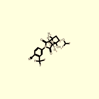 CC12C[C@H](OC(F)F)C(C)(O1)[C@]1(C)C(=O)N(c3ccc(C#N)c(C(F)(F)F)c3)C(=O)[C@H]21